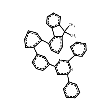 CC1(C)c2ccccc2-c2c(-c3ccccc3-c3cccc(-c4cc(-c5ccccc5)nc(-c5ccccc5)n4)c3)cccc21